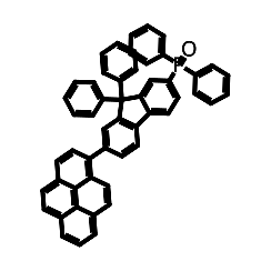 O=P(c1ccccc1)(c1ccccc1)c1ccc2c(c1)C(c1ccccc1)(c1ccccc1)c1cc(-c3ccc4ccc5cccc6ccc3c4c56)ccc1-2